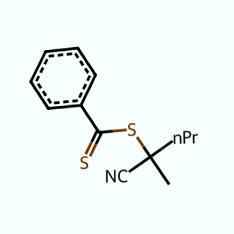 CCCC(C)(C#N)SC(=S)c1ccccc1